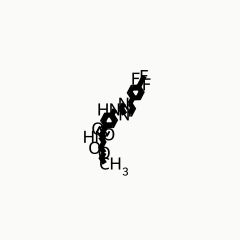 CCOC(=O)CNS(=O)(=O)c1ccc(Nc2nccc(-c3ccc(C(F)(F)F)cc3)n2)cc1